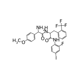 COc1ccc(C(N)C(=O)NC(Cc2ccccc2C(F)(F)F)C(=O)Nc2ccc(I)cc2F)cc1